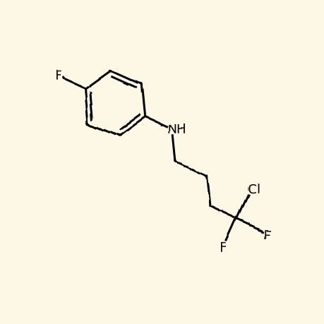 Fc1ccc(NCCCC(F)(F)Cl)cc1